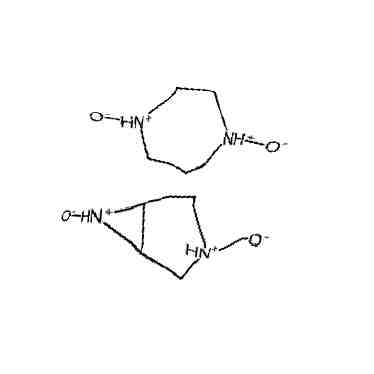 [O-][NH+]1CC2C(C1)[NH+]2[O-].[O-][NH+]1CC[NH+]([O-])CC1